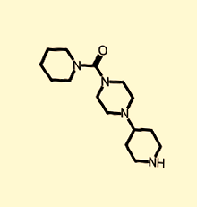 O=C(N1CCCCC1)N1CCN(C2CCNCC2)CC1